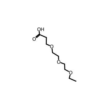 CCOCCOCCOCCC(=O)O